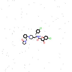 O=C(N[C@H](C=C1CCN(c2ccccc2CN2CCCC2=O)CC1)Cc1ccc(Cl)cc1)c1cc(=O)c2cc(Cl)ccc2o1